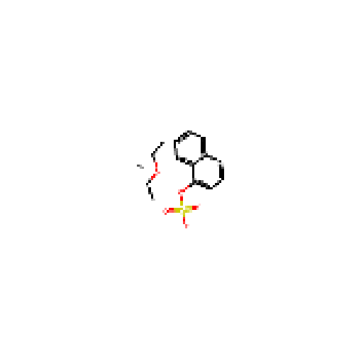 CCOCC.O=S(=O)([O-])Oc1cccc2ccccc12.[Na+]